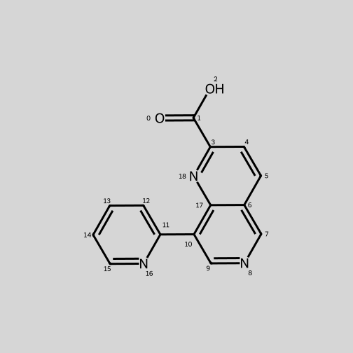 O=C(O)c1ccc2cncc(-c3ccccn3)c2n1